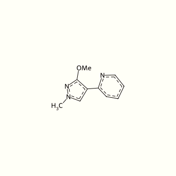 COc1nn(C)cc1-c1ccccn1